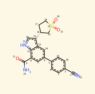 N#Cc1ccc(-c2cc(C(N)=O)c3[nH]cc([C@@H]4CCS(=O)(=O)C4)c3c2)cc1